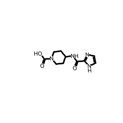 O=C(NC1CCN(C(=O)O)CC1)c1ncc[nH]1